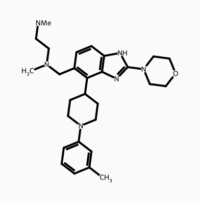 CNCCN(C)Cc1ccc2[nH]c(N3CCOCC3)nc2c1C1CCN(c2cccc(C)c2)CC1